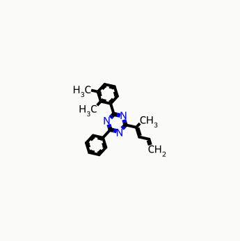 C=C/C=C(\C)c1nc(-c2ccccc2)nc(-c2cccc(C)c2C)n1